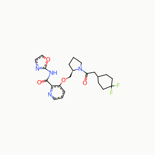 O=C(Nc1ncco1)c1ncccc1OC[C@H]1CCCN1C(=O)CC1CCC(F)(F)CC1